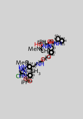 CN[C@@H](C)C(O)N[C@H](C(=O)N1Cc2cc(OCCOCCNCCc3cc(OC)c(Nc4ncc(Cl)c(Nc5ccccc5S(=O)(=O)C(C)C)n4)cc3C)ccc2C[C@H]1C(=O)N[C@H]1CCCc2ccccc21)C(C)(C)C